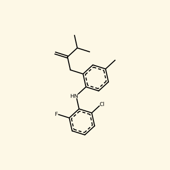 C=C(Cc1cc(C)ccc1Nc1c(F)cccc1Cl)C(C)C